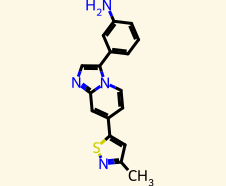 Cc1cc(-c2ccn3c(-c4cccc(N)c4)cnc3c2)sn1